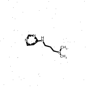 CN(C)CCCNc1ccn[c]n1